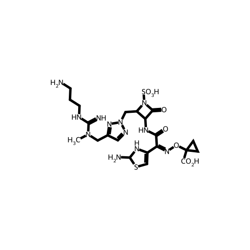 CN(Cc1cnn(CC2C(NC(=O)/C(=N\OC3(C(=O)O)CC3)C3=CSC(N)N3)C(=O)N2S(=O)(=O)O)n1)C(=N)NCCCN